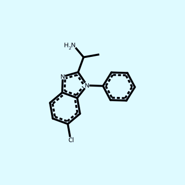 CC(N)c1nc2ccc(Cl)cc2n1-c1ccccc1